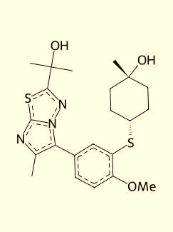 COc1ccc(-c2c(C)nc3sc(C(C)(C)O)nn23)cc1S[C@H]1CC[C@@](C)(O)CC1